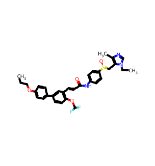 CCCOc1ccc(-c2ccc(OC(F)F)c(/C=C/C(=O)Nc3ccc([S@@+]([O-])Cc4c(C)ncn4CC)cc3)c2)cc1